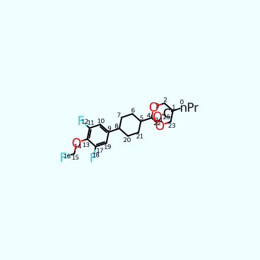 CCCC12COC(C3CCC(c4cc(F)c(OCF)c(F)c4)CC3)(OC1)OC2